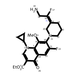 CCOC(=O)c1cn(C2CC2)c2c(OC)c(N3CCC/C(=C(\F)CN)C3)c(F)cc2c1=O